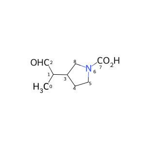 CC(C=O)C1CCN(C(=O)O)C1